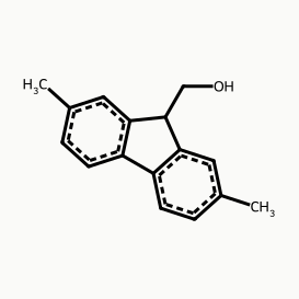 Cc1ccc2c(c1)C(CO)c1cc(C)ccc1-2